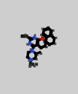 CSc1nc2c(c(N3CCN(C(=O)O)C[C@@H]3C)n1)CCC1(CCCc3ccccc31)O2